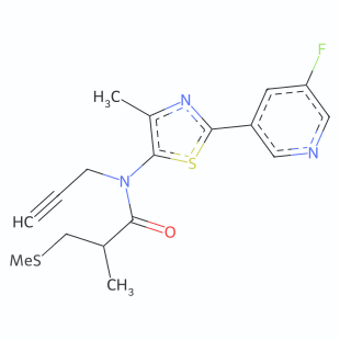 C#CCN(C(=O)C(C)CSC)c1sc(-c2cncc(F)c2)nc1C